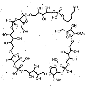 COC1C(O)[C@@H](CO)O[C@H]1OCC(O)C(O)C(O)COP(=O)(O)OC1C(OC)[C@H](OCC(O)C(O)C(O)COP(=O)(O)OC2C(F)[C@H](OCC(O)C(O)C(O)COP(=O)(O)OC3C(F)[C@H](OCC(O)C(O)C(O)COP(=O)(O)OCCCCCN)O[C@@H]3CO)O[C@@H]2CO)O[C@@H]1CO